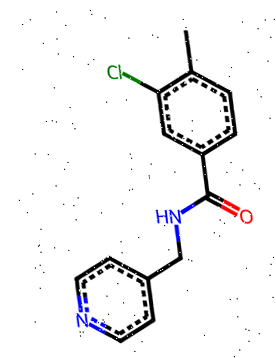 Cc1ccc(C(=O)NCc2ccncc2)cc1Cl